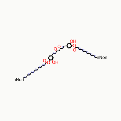 CCCCCCCCC/C=C/C=C/C=C/C=C/C=C/C=C/C(=O)Oc1ccc(/C=C/C(=O)CC(=O)/C=C/c2ccc(OC(=O)/C=C/C=C/C=C/C=C/C=C/CCCCCCCCC)c(O)c2)cc1O